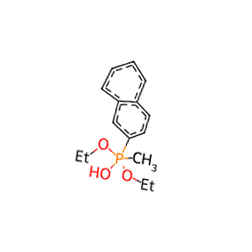 CCOP(C)(O)(OCC)c1ccc2ccccc2c1